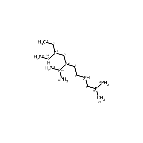 CCP(CP(CCPCP(C)P)P(P)P)PP